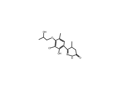 Cc1cc(C2=NNC(=O)CC2C)c(O)c(Cl)c1OCC(C)O